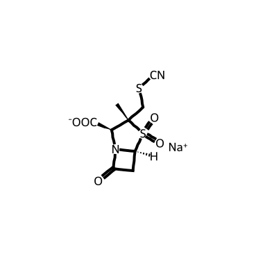 C[C@]1(CSC#N)[C@H](C(=O)[O-])N2C(=O)C[C@@H]2S1(=O)=O.[Na+]